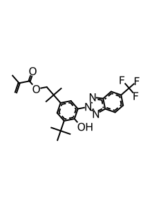 C=C(C)C(=O)OCC(C)(C)c1cc(-n2nc3ccc(C(F)(F)F)cc3n2)c(O)c(C(C)(C)C)c1